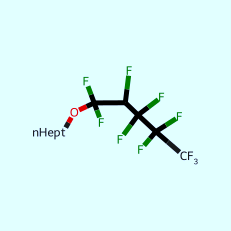 CCCCCCCOC(F)(F)C(F)C(F)(F)C(F)(F)C(F)(F)F